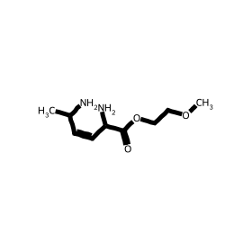 COCCOC(=O)C(N)/C=C\C(C)N